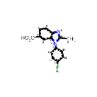 Cc1nc2ccc(C(=O)O)cc2n1-c1ccc(F)cc1